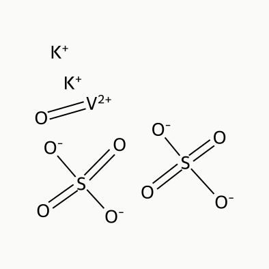 O=S(=O)([O-])[O-].O=S(=O)([O-])[O-].[K+].[K+].[O]=[V+2]